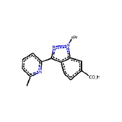 CCCn1nc(-c2cccc(C)n2)c2ccc(C(=O)O)cc21